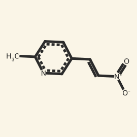 Cc1ccc(C=C[N+](=O)[O-])cn1